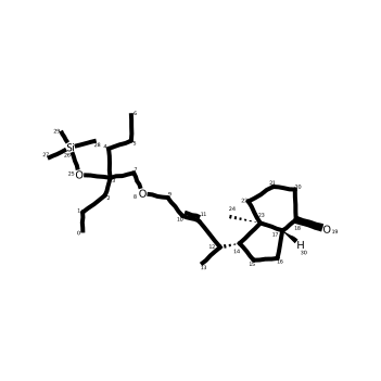 CCCC(CCC)(COC/C=C/C(C)[C@H]1CC[C@H]2C(=O)CCC[C@]12C)O[Si](C)(C)C